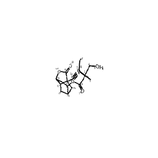 CCC(C)(CO)C(=O)OC1C2CC3C1OC(=O)C3(C#N)C2